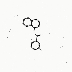 [CH2]c1cccc(C(=O)Nc2cccc3ccccc23)c1